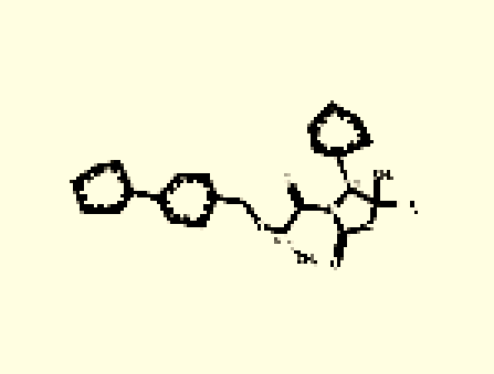 C[C@H](OCc1ccc(-c2ccccc2)cc1)C(=O)N1C(=O)OC(C)(C)[C@@H]1c1ccccc1